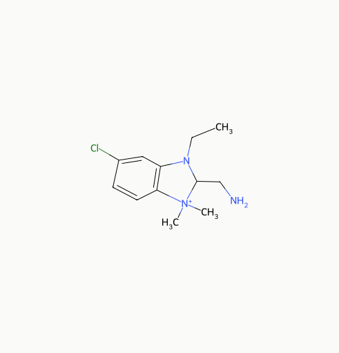 CCN1c2cc(Cl)ccc2[N+](C)(C)C1CN